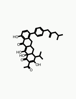 C=C(Cc1ccc(-c2ccc(O)c3c2CC2CC4C(C(C)C)C(O)=C(C(C)=O)C(=O)C4(O)C(O)=C2C3=O)cc1)CC(C)C